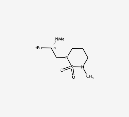 CN[C@H](CN1CCCN(C)S1(=O)=O)C(C)(C)C